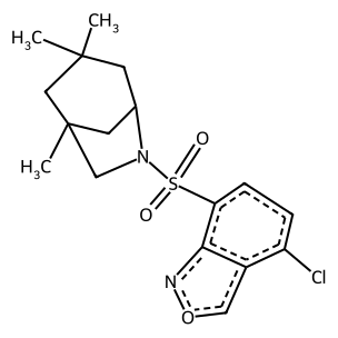 CC1(C)CC2CC(C)(CN2S(=O)(=O)c2ccc(Cl)c3conc23)C1